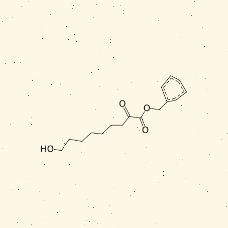 O=C(CCCCCCCO)C(=O)OCc1ccccc1